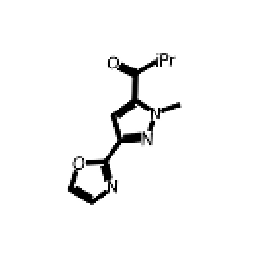 CC(C)C(=O)c1cc(-c2ncco2)nn1C